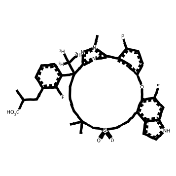 [2H]C([2H])([2H])C1(c2cccc(CC(C)C(=O)O)c2F)CCCC(C)(C)CS(=O)(=O)CCc2c(c(F)cc3[nH]ccc23)Oc2ccc(F)c(c2)-c2nc1nn2C